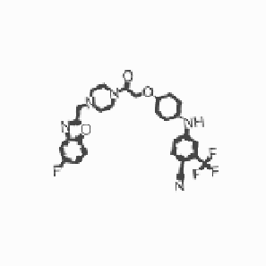 N#Cc1ccc(N[C@H]2CC[C@H](OCC(=O)N3CCN(Cc4nc5cc(F)ccc5o4)CC3)CC2)cc1C(F)(F)F